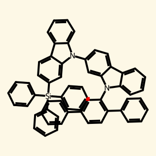 c1ccc(-c2ccc(-c3ccccc3)c(-n3c4ccccc4c4ccc(-n5c6ccccc6c6ccc([Si](c7ccccc7)(c7ccccc7)c7ccccc7)cc65)cc43)c2)cc1